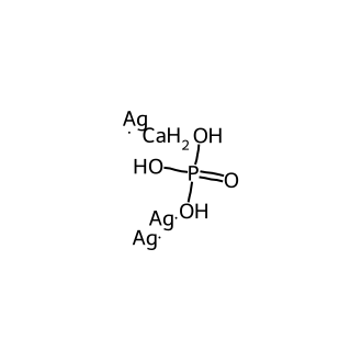 O=P(O)(O)O.[Ag].[Ag].[Ag].[CaH2]